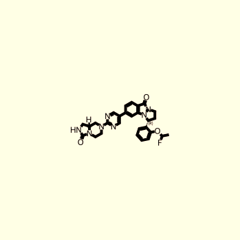 CC(F)Oc1ccccc1[C@H]1CCn2c(=O)c3ccc(-c4cnc(N5CCN6C(=O)NC[C@@H]6C5)nc4)cc3n21